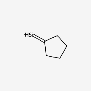 [SiH]=C1CCCC1